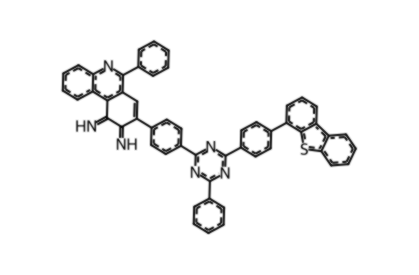 N=C1C(=N)c2c(c(-c3ccccc3)nc3ccccc23)C=C1c1ccc(-c2nc(-c3ccccc3)nc(-c3ccc(-c4cccc5c4sc4ccccc45)cc3)n2)cc1